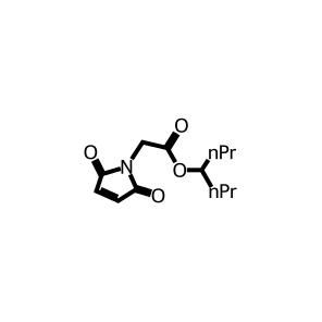 CCCC(CCC)OC(=O)CN1C(=O)C=CC1=O